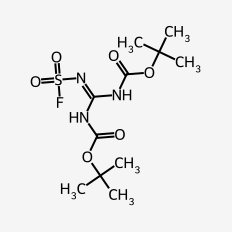 CC(C)(C)OC(=O)NC(=NS(=O)(=O)F)NC(=O)OC(C)(C)C